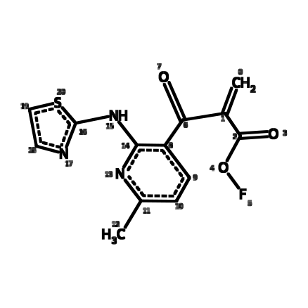 C=C(C(=O)OF)C(=O)c1ccc(C)nc1Nc1nccs1